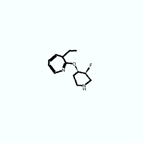 CCC1C=CC=CN=C1O[C@@H]1CCNC[C@@H]1F